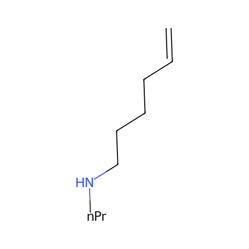 C=CCCCCNCCC